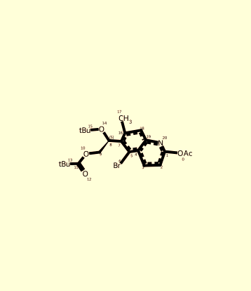 CC(=O)Oc1ccc2c(Br)c([C@@H](COC(=O)C(C)(C)C)OC(C)(C)C)c(C)cc2n1